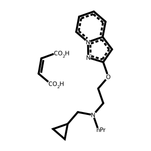 CCCN(CCOc1cc2ccccn2n1)CC1CC1.O=C(O)/C=C\C(=O)O